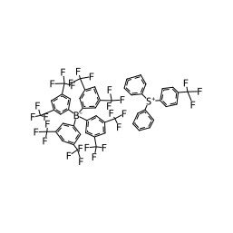 FC(F)(F)c1cc([B-](c2cc(C(F)(F)F)cc(C(F)(F)F)c2)(c2cc(C(F)(F)F)cc(C(F)(F)F)c2)c2cc(C(F)(F)F)cc(C(F)(F)F)c2)cc(C(F)(F)F)c1.FC(F)(F)c1ccc([S+](c2ccccc2)c2ccccc2)cc1